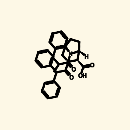 CC(Cc1ccccc1)C(=O)N1C2CC[C@@H]1[C@@H](C(=O)O)N(C(=O)C(c1ccccc1)c1ccccc1)C2